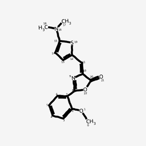 COc1ccccc1C1=N/C(=C\c2ccc(N(C)C)s2)C(=O)O1